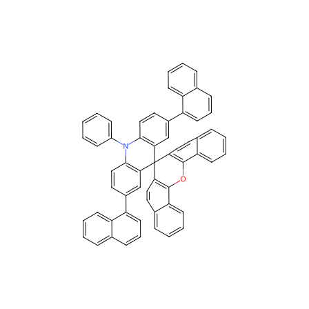 c1ccc(N2c3ccc(-c4cccc5ccccc45)cc3C3(c4cc(-c5cccc6ccccc56)ccc42)c2ccc4ccccc4c2Oc2c3ccc3ccccc23)cc1